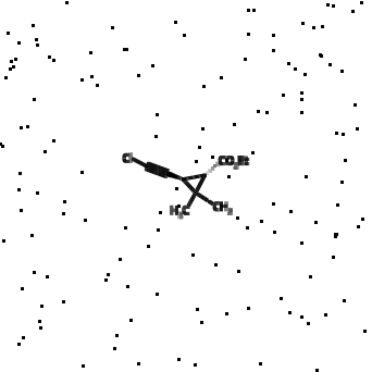 CCOC(=O)[C@H]1[C@H](C#CCl)C1(C)C